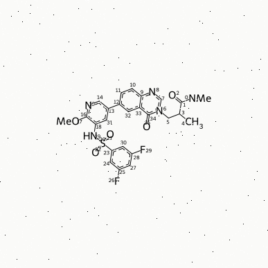 CNC(=O)C(C)Cn1cnc2ccc(-c3cnc(OC)c(NS(=O)(=O)c4cc(F)cc(F)c4)c3)cc2c1=O